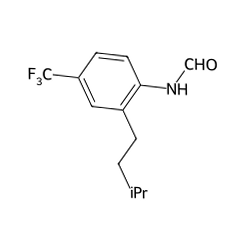 CC(C)CCc1cc(C(F)(F)F)ccc1NC=O